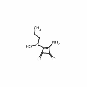 CCCN(O)c1c(N)c(=O)c1=O